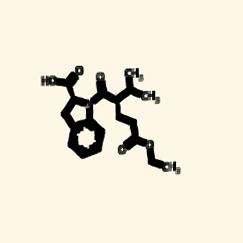 CCOC(=O)CC[C@@H](C(=O)N1c2ccccc2C[C@H]1C(=O)O)C(C)C